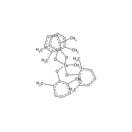 Cc1cccc(C)c1[O][Ta]([CH3])([O]c1c(C)cccc1C)([O]c1c(C)cccc1C)[O]c1c(C)cccc1C